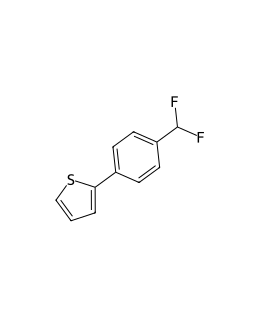 FC(F)c1ccc(-c2cccs2)cc1